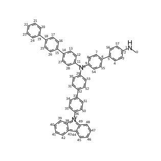 CNc1ccc(-c2ccc(N(c3ccc(-c4ccc(-c5ccccc5)cc4)cc3)c3ccc(-c4ccc(-n5c6ccccc6c6ccccc65)cc4)cc3)cc2)cc1